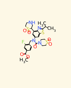 COC(=O)c1ccc(CN(C(=O)N2CCS(=O)(=O)CC2)c2cc(C3CNCCS3(=O)=O)c3nc(C(C)C)sc3c2)c(F)c1